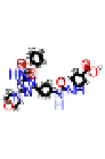 COC(=O)c1ccc(NC(=O)Nc2ccc(-c3nc(NS(=O)(=O)c4ccccc4)nc(N4CCOCC4)n3)cc2)cc1